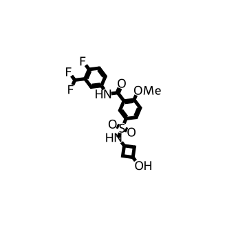 COc1ccc(S(=O)(=O)NC2CC(O)C2)cc1C(=O)Nc1ccc(F)c(C(F)F)c1